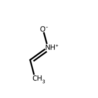 CC=[NH+][O-]